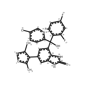 Cc1noc(C)c1-c1cc(C(O)(c2ccc(Cl)cn2)c2c(F)cc(F)cc2F)c2[nH]c(=O)[nH]c2c1